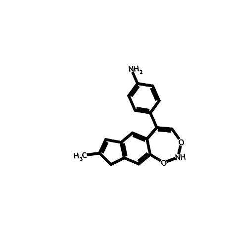 CC1=Cc2cc3c(-c4ccc(N)cc4)co[nH]oc3cc2C1